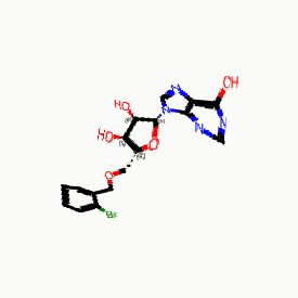 Oc1ncnc2c1ncn2[C@@H]1O[C@H](COCc2ccccc2Br)[C@@H](O)[C@H]1O